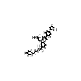 O=C(O)Cn1c2cc(C(=O)NCCCN3CCC(F)CC3)ccc2n2cc(-c3ccc([C@@H]4CCCN4)cc3F)nc12